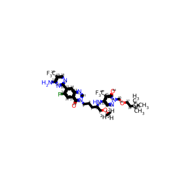 [2H]C([2H])([2H])OCC(CCCn1cnc2cc(-c3ncc(C(F)(F)F)c(N)n3)c(F)cc2c1=O)Nc1cnn(COCC[Si](C)(C)C)c(=O)c1C(F)(F)F